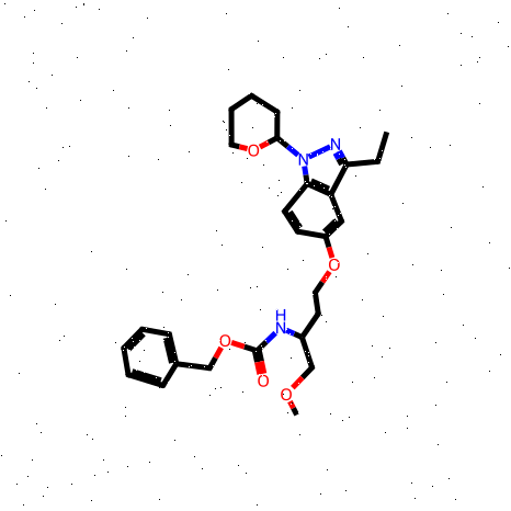 CCc1nn(C2CCCCO2)c2ccc(OCCC(COC)NC(=O)OCc3ccccc3)cc12